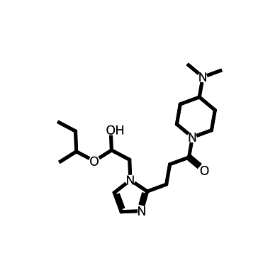 CCC(C)OC(O)Cn1ccnc1CCC(=O)N1CCC(N(C)C)CC1